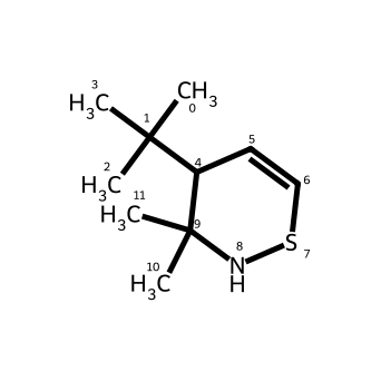 CC(C)(C)C1C=CSNC1(C)C